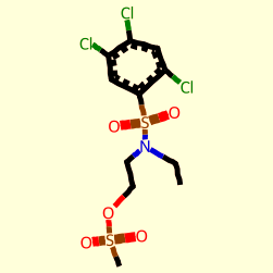 CCN(CCOS(C)(=O)=O)S(=O)(=O)c1cc(Cl)c(Cl)cc1Cl